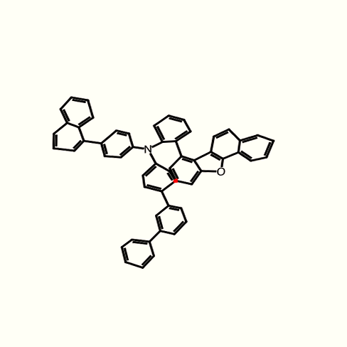 c1ccc(-c2cccc(-c3ccc(N(c4ccc(-c5cccc6ccccc56)cc4)c4ccccc4-c4cccc5oc6c7ccccc7ccc6c45)cc3)c2)cc1